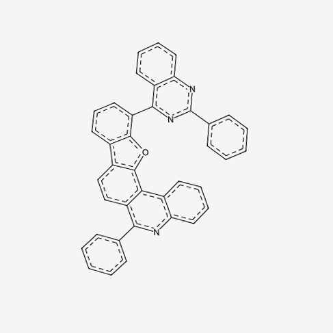 c1ccc(-c2nc(-c3cccc4c3oc3c4ccc4c(-c5ccccc5)nc5ccccc5c43)c3ccccc3n2)cc1